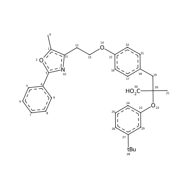 Cc1oc(-c2ccccc2)nc1CCOc1ccc(CC(C)(Oc2cccc(C(C)(C)C)c2)C(=O)O)cc1